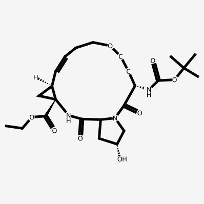 CCOC(=O)[C@@]12C[C@H]1/C=C\CCOCC[C@H](NC(=O)OC(C)(C)C)C(=O)N1C[C@H](O)CC1C(=O)N2